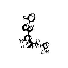 CNc1cc(-c2cnc3n([C@@H]4CCOC[C@@H]4F)cccc2-3)nc2c(C(=O)N[C@H]3COC[C@H]3O)cnn12